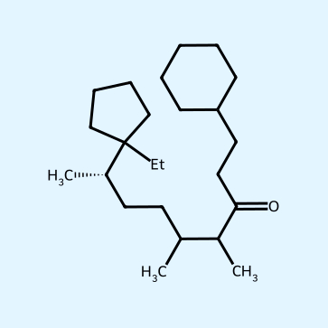 CCC1([C@@H](C)CCC(C)C(C)C(=O)CCC2CCCCC2)CCCC1